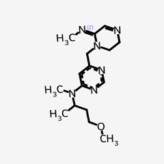 C/N=C1/C=NCCN1Cc1cc(N(C)C(C)CCOC)ncn1